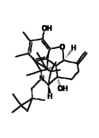 C=C1CC[C@@]2(O)[C@@H]3N(CC4(C)CC4(C)C)C(C)(C)C(C)(C)[C@@]24c2c(c(O)c(C)c(C)c2C3(C)C)O[C@@H]14